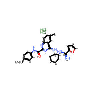 COc1ccc(NC(=O)c2nc(N[C@H]3CCCC[C@H]3NC(=N)c3ccco3)c3cc(C)ccc3n2)cc1.Cl.Cl